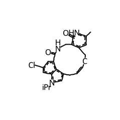 Cc1cc2c(c(=O)[nH]1)CNC(=O)c1cc(Cl)cc3c1c(cn3C(C)C)C/C=C\CC2